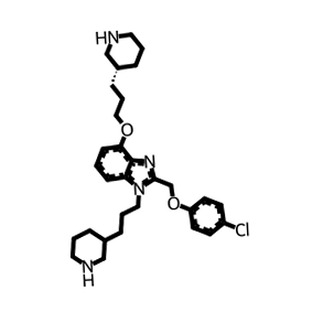 Clc1ccc(OCc2nc3c(OCCC[C@H]4CCCNC4)cccc3n2CCCC2CCCNC2)cc1